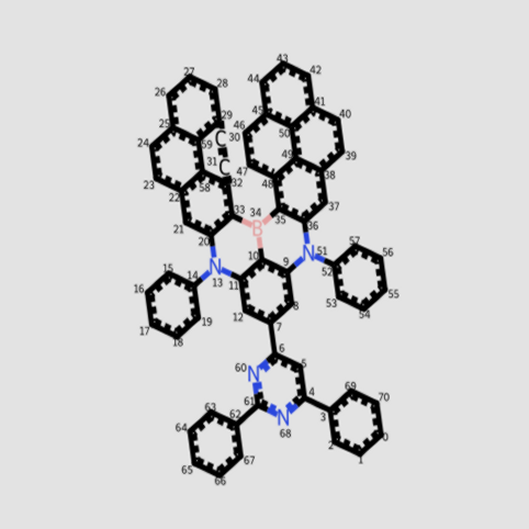 c1ccc(-c2cc(-c3cc4c5c(c3)N(c3ccccc3)c3cc6ccc7cccc8ccc(c3B5c3c(cc5ccc9cccc%10ccc3c5c9%10)N4c3ccccc3)c6c78)nc(-c3ccccc3)n2)cc1